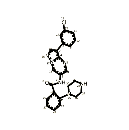 O=C(Nc1cnc2c(-c3cccc(Cl)c3)cnn2c1)c1ccccc1N1CCNCC1